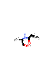 C=CC(=O)NC(CO)CCC